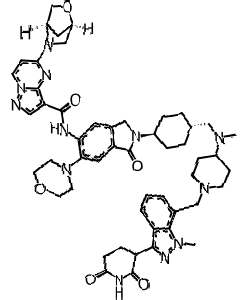 CN(C[C@H]1CC[C@H](N2Cc3cc(NC(=O)c4cnn5ccc(N6C[C@H]7C[C@@H]6CO7)nc45)c(N4CCOCC4)cc3C2=O)CC1)C1CCN(Cc2cccc3c(C4CCC(=O)NC4=O)nn(C)c23)CC1